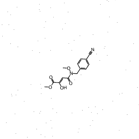 COC(=O)C(O)=CC(=O)N(Cc1ccc(C#N)cc1)OC